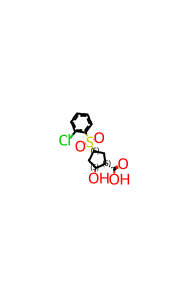 O=C(O)[C@H]1C[C@H](S(=O)(=O)c2ccccc2Cl)C[C@@H]1O